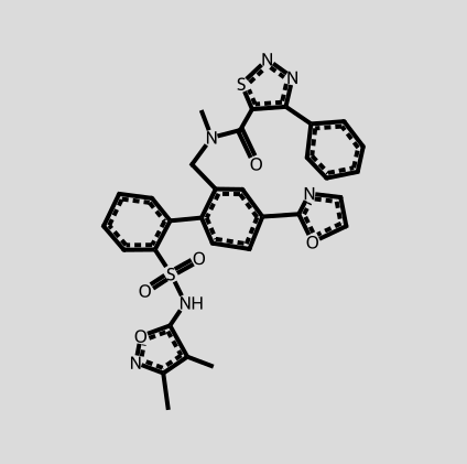 Cc1noc(NS(=O)(=O)c2ccccc2-c2ccc(-c3ncco3)cc2CN(C)C(=O)c2snnc2-c2ccccc2)c1C